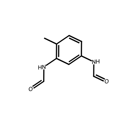 Cc1ccc(NC=O)cc1NC=O